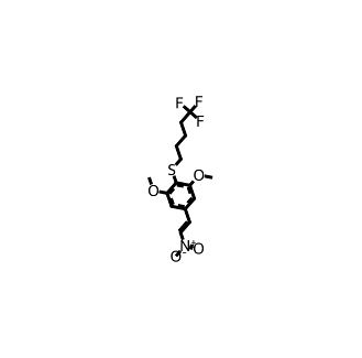 COc1cc(C=C[N+](=O)[O-])cc(OC)c1SCCCCC(F)(F)F